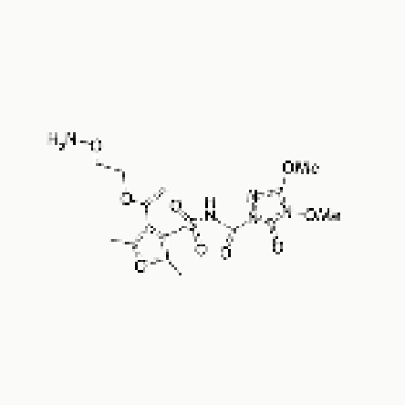 C=C(OCCON)c1c(C)oc(C)c1S(=O)(=O)NC(=O)n1nc(OC)n(OC)c1=O